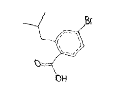 CC(C)Cc1cc(Br)ccc1C(=O)O